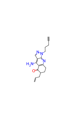 C#CCCCn1ncc2c(N)c3c(nc21)CCC(CC=C)C3=O